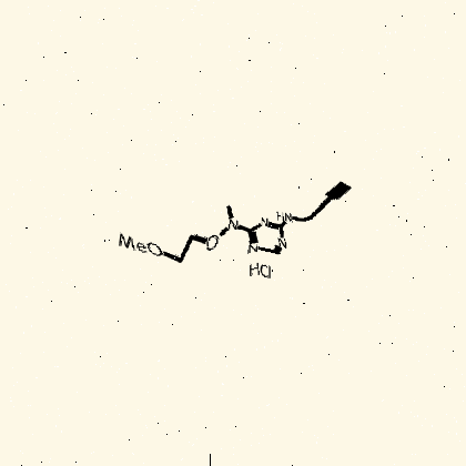 C#CCNc1ncnc(N(C)OCCOC)n1.Cl